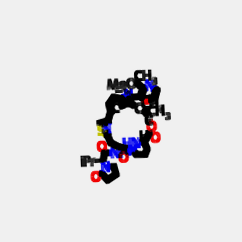 CCn1c(-c2cccnc2[C@H](C)OC)c2c3cc(ccc31)-c1csc(n1)C[C@H](NC(=O)[C@H](C(C)C)N1CCCC1=O)C(=O)N1CCC[C@H](N1)C(=O)OCC(C)(C)C2